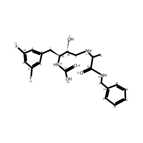 CC(NC[C@@H](O)[C@H](Cc1cc(F)cc(F)c1)NC(=O)O)C(=O)NCc1ccccc1